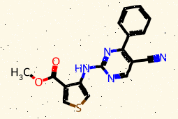 COC(=O)c1cscc1Nc1ncc(C#N)c(-c2ccccc2)n1